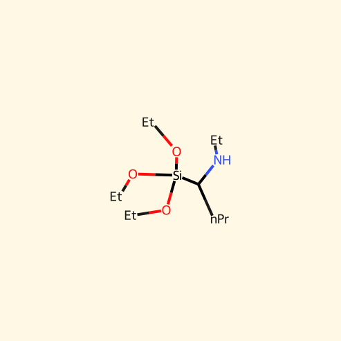 CCCC(NCC)[Si](OCC)(OCC)OCC